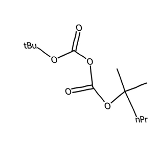 CCCC(C)(C)OC(=O)OC(=O)OC(C)(C)C